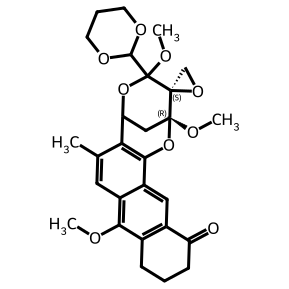 COc1c2c(cc3c4c(c(C)cc13)C1C[C@@](OC)(O4)[C@@]3(CO3)C(OC)(C3OCCCO3)O1)C(=O)CCC2